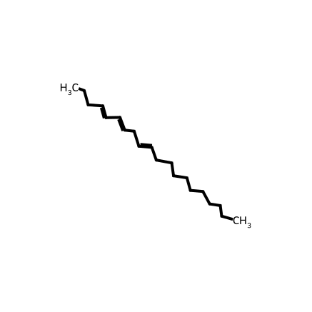 CCCC=CC=CCC=CCCCCCCCCCC